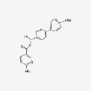 CCCCc1ccc(-c2ccc(C(CC)OC(=O)c3ccc(CCCC)nc3)cc2)cc1